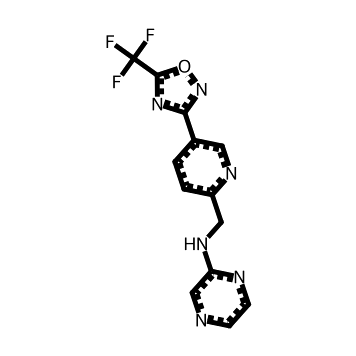 FC(F)(F)c1nc(-c2ccc(CNc3cnccn3)nc2)no1